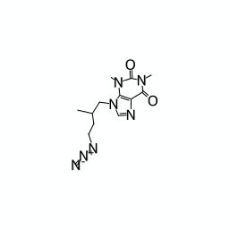 CC(CCN=[N+]=[N-])Cn1cnc2c(=O)n(C)c(=O)n(C)c21